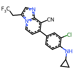 N#Cc1c(-c2ccc(NC3CC3)c(Cl)c2)ccn2c(CC(F)(F)F)cnc12